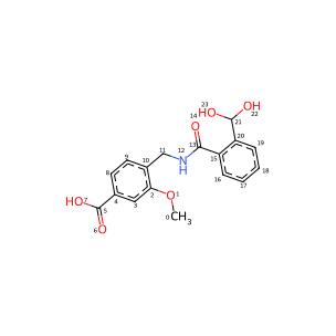 COc1cc(C(=O)O)ccc1CNC(=O)c1ccccc1C(O)O